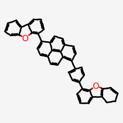 C1=Cc2oc3c(-c4ccc(-c5ccc6ccc7c(-c8cccc9c8oc8ccccc89)ccc8ccc5c6c87)cc4)cccc3c2CC1